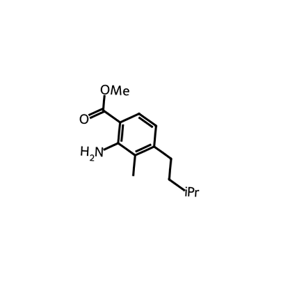 COC(=O)c1ccc(CCC(C)C)c(C)c1N